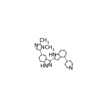 Cc1ncc(-c2ccc3[nH]nc(-c4cc5c(-c6ccncc6)cccc5[nH]4)c3c2)n1C